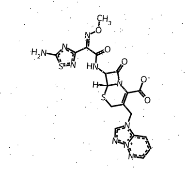 CO/N=C(\C(=O)NC1C(=O)N2C(C(=O)[O-])=C(Cn3cn[n+]4ncccc34)CS[C@H]12)c1nsc(N)n1